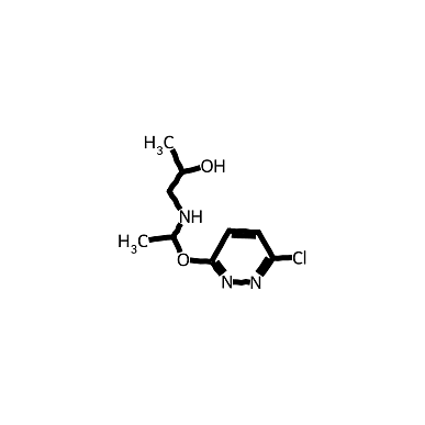 CC(O)CNC(C)Oc1ccc(Cl)nn1